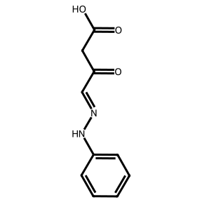 O=C(O)CC(=O)C=NNc1ccccc1